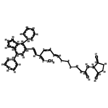 C/C=C(\C=C/C=N/CCCCCC(=O)ON1C(=O)CCC1=O)/C=C/c1nc(-c2ccccc2)c2nsnc2c1-c1ccccc1